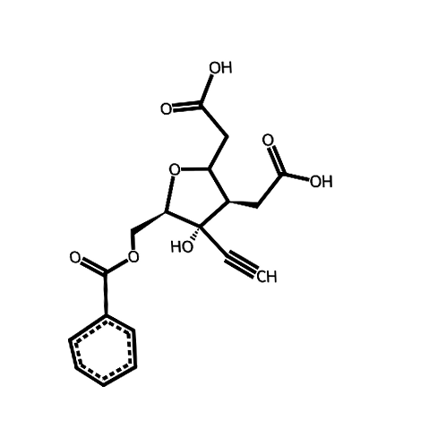 C#C[C@]1(O)[C@H](CC(=O)O)C(CC(=O)O)O[C@@H]1COC(=O)c1ccccc1